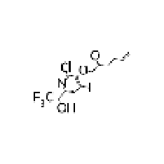 C=CCCC(=O)COc1c(I)cc(C(O)C(F)(F)F)nc1Cl